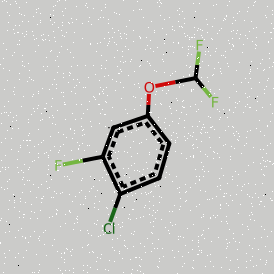 Fc1[c]c(OC(F)F)ccc1Cl